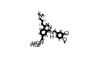 COc1ccc(CNc2nnc(CCCN(C)C)c3ccc(C#N)cc23)cc1Cl.Cl.Cl